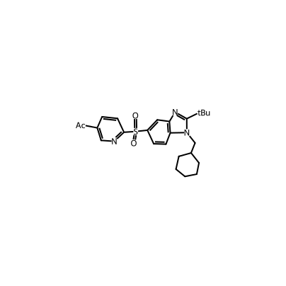 CC(=O)c1ccc(S(=O)(=O)c2ccc3c(c2)nc(C(C)(C)C)n3CC2CCCCC2)nc1